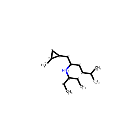 CCC(CC)NC(CCC(C)C)CC1CC1C